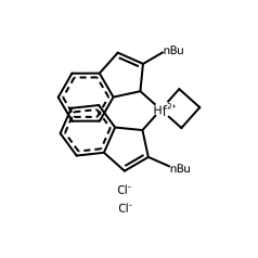 CCCCC1=Cc2ccccc2[CH]1[Hf+2]1([CH]2C(CCCC)=Cc3ccccc32)[CH2]C[CH2]1.[Cl-].[Cl-]